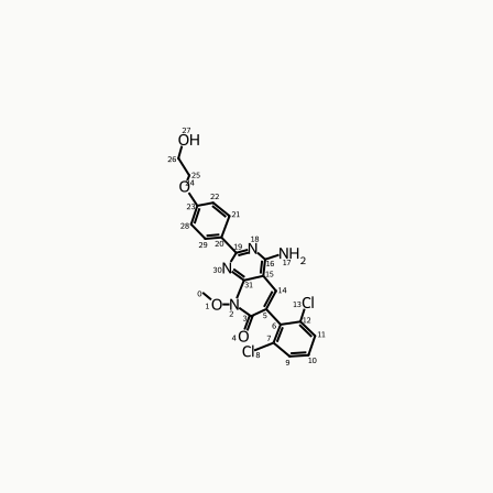 COn1c(=O)c(-c2c(Cl)cccc2Cl)cc2c(N)nc(-c3ccc(OCCO)cc3)nc21